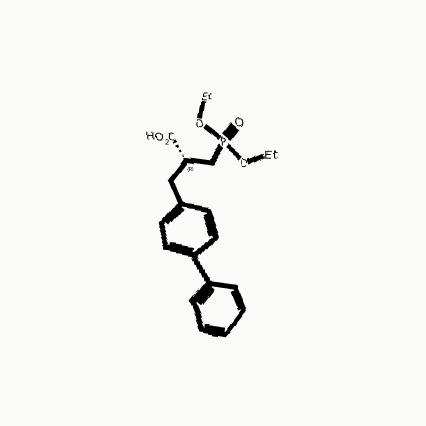 CCOP(=O)(C[C@H](Cc1ccc(-c2ccccc2)cc1)C(=O)O)OCC